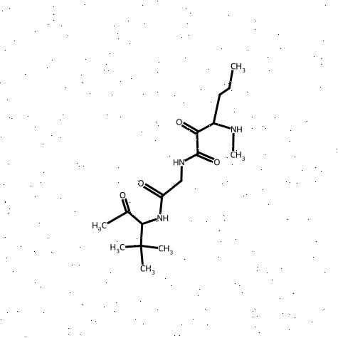 CCCC(NC)C(=O)C(=O)NCC(=O)NC(C(C)=O)C(C)(C)C